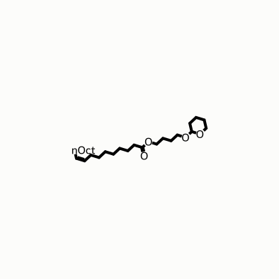 CCCCCCCC/C=C\CCCCCCCC(=O)OCCCCOC1CCCCO1